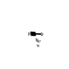 [B]C#N.[H-].[Na+]